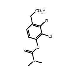 CN(C)C(=S)Oc1ccc(CC(=O)O)c(Cl)c1Cl